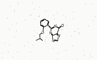 CC(C)COc1ccccc1C1=NC(=O)C2=NC=NC2=N1